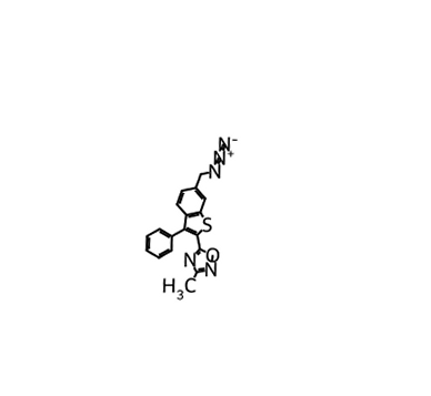 Cc1noc(-c2sc3cc(CN=[N+]=[N-])ccc3c2-c2ccccc2)n1